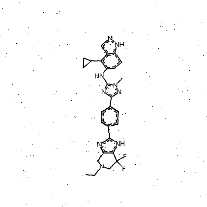 CCN1Cc2nc(-c3ccc(-c4nc(Nc5ccc6[nH]ncc6c5C5CC5)n(C)n4)cc3)[nH]c2C(F)(F)C1